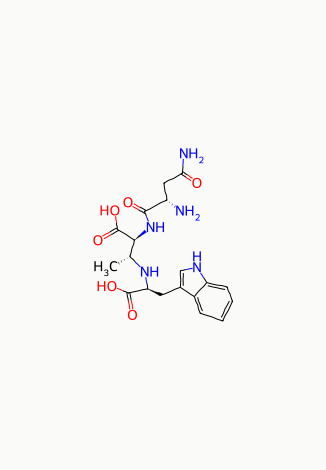 C[C@@H](N[C@@H](Cc1c[nH]c2ccccc12)C(=O)O)[C@H](NC(=O)[C@@H](N)CC(N)=O)C(=O)O